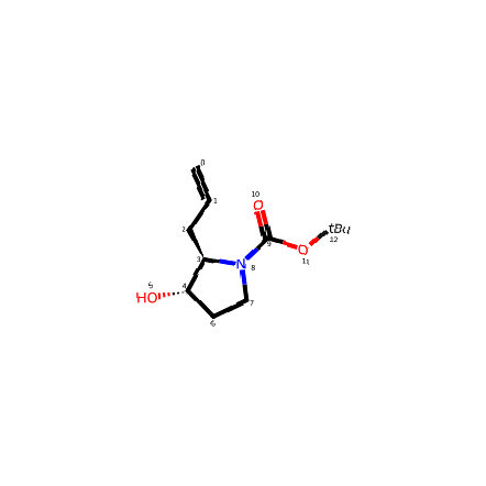 C=CC[C@@H]1[C@@H](O)CCN1C(=O)OC(C)(C)C